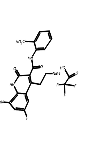 CNCCc1c(C(=O)Nc2ccccc2C(=O)O)c(=O)[nH]c2c(NC)cc(F)cc12.O=C(O)C(F)(F)F